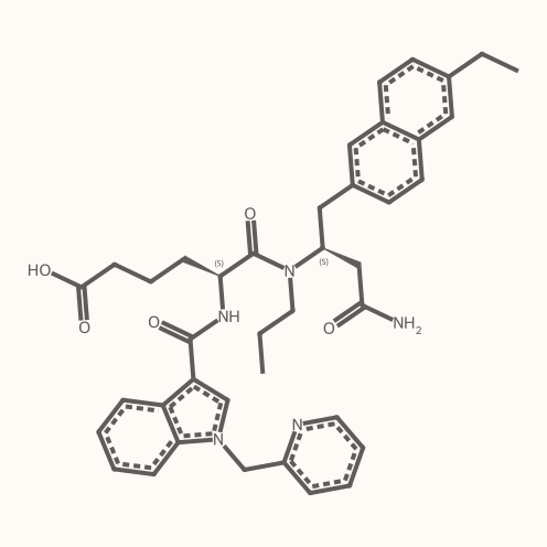 CCCN(C(=O)[C@H](CCCC(=O)O)NC(=O)c1cn(Cc2ccccn2)c2ccccc12)[C@H](CC(N)=O)Cc1ccc2cc(CC)ccc2c1